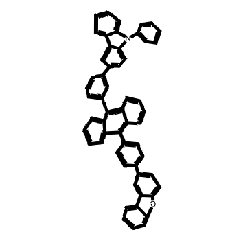 c1ccc(-n2c3ccccc3c3cc(-c4cccc(-c5c6ccccc6c(-c6ccc(-c7ccc8oc9ccccc9c8c7)cc6)c6ccccc56)c4)ccc32)cc1